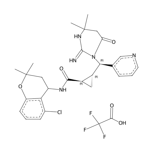 CC1(C)CC(=O)N([C@@H](c2cccnc2)[C@@H]2C[C@H]2C(=O)NC2CC(C)(C)Oc3cccc(Cl)c32)C(=N)N1.O=C(O)C(F)(F)F